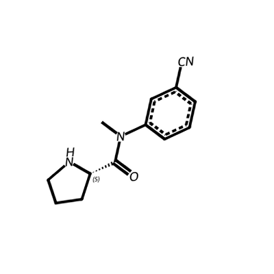 CN(C(=O)[C@@H]1CCCN1)c1cccc(C#N)c1